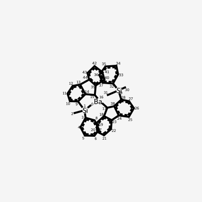 C[Si](C)(c1ccccc1)c1cccc2c1[CH]([Ba][CH]1c3ccccc3-c3cccc([Si](C)(C)c4ccccc4)c31)c1ccccc1-2